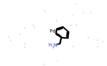 NCc1ccccc1.[Pd]